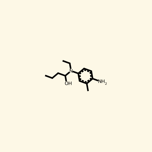 CCCC(O)N(CC)c1ccc(N)c(C)c1